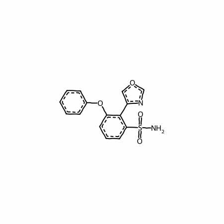 NS(=O)(=O)c1cccc(Oc2ccccc2)c1-c1cocn1